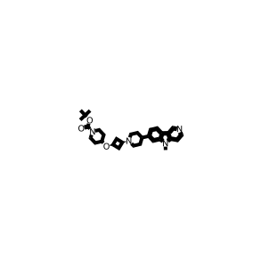 Cn1c2ccncc2c2ccc(C3CCN([C@H]4C[C@@H](OC5CCN(C(=O)OC(C)(C)C)CC5)C4)CC3)cc21